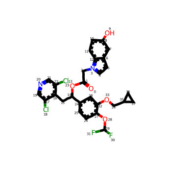 O=C(Cn1ccc2cc(O)ccc21)OC(Cc1c(Cl)cncc1Cl)c1ccc(OC(F)F)c(OCC2CC2)c1